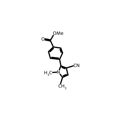 COC(=O)c1ccc(-c2c(C#N)cc(C)n2C)cc1